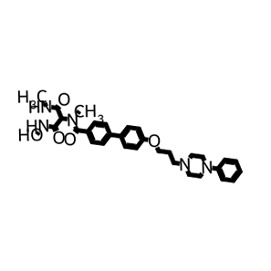 CNC(=O)C(C(=O)NO)N(C)C(=O)c1ccc(-c2ccc(OCCCN3CCN(c4ccccc4)CC3)cc2)cc1